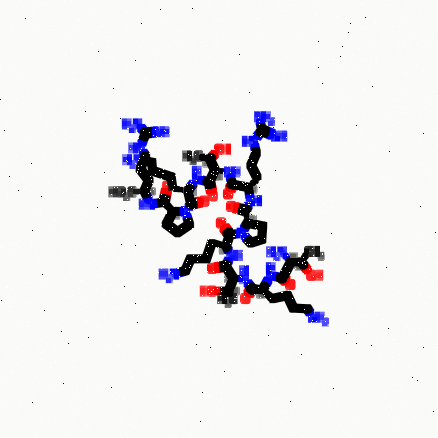 C[C@H](O)[C@@H](N)C(=O)N[C@@H](CCCCN)C(=O)N[C@H](C(=O)N[C@@H](CCCCN)C(=O)N1CCC[C@H]1C(=O)N[C@@H](CCCNC(=N)N)C(=O)N[C@H](C(=O)N[C@@H](CCCCN)C(=O)N1CCC[C@H]1C(=O)N[C@@H](CCCNC(=N)N)C(=O)O)[C@@H](C)O)[C@@H](C)O